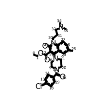 CCOC(=O)c1c(N2CCN(C(=O)c3ccc(Cl)cc3)CC2)c2cc(C)ccc2n(CCCN(C)C)c1=O